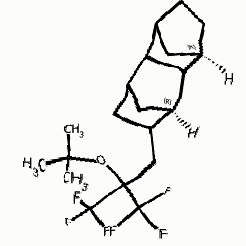 CC(C)(C)OC(CC1CC2C[C@H]1C1C2C2CC[C@@H]1C2)(C(F)(F)F)C(F)(F)F